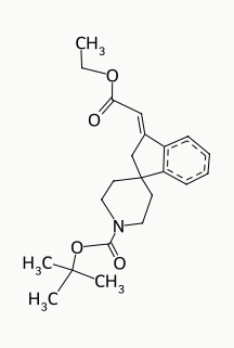 CCOC(=O)C=C1CC2(CCN(C(=O)OC(C)(C)C)CC2)c2ccccc21